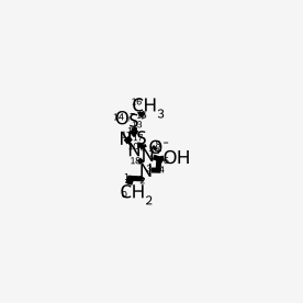 C=CCN1CC(O)[N+]([O-])(c2nnc([S+]([O-])CC)s2)C1